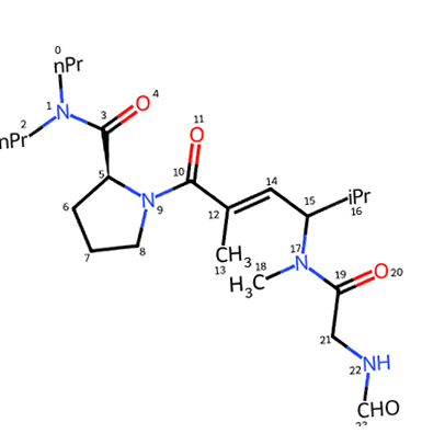 CCCN(CCC)C(=O)[C@@H]1CCCN1C(=O)/C(C)=C/C(C(C)C)N(C)C(=O)CNC=O